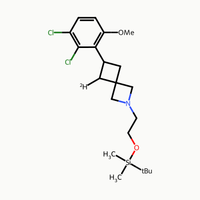 [2H]C1C(c2c(OC)ccc(Cl)c2Cl)CC12CN(CCO[Si](C)(C)C(C)(C)C)C2